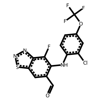 O=Cc1cc2snnc2c(F)c1Nc1ccc(OC(F)(F)F)cc1Cl